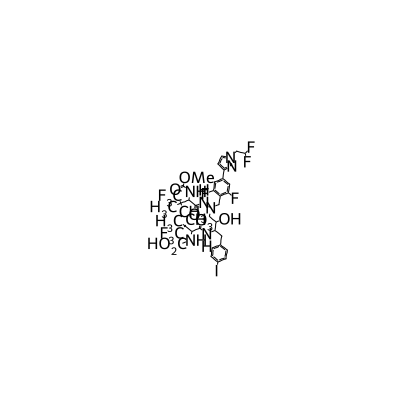 COC(=O)NC(C(=O)NN(Cc1c(F)cc(-c2ccn(CC(F)F)n2)cc1F)CC(O)C(Cc1ccc(I)cc1)NC(=O)C(NC(=O)O)C(C)(C)C(F)(F)F)C(C)(C)C(F)(F)F